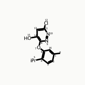 Cc1ccc(C(C)C)c(Oc2nnc(Cl)cc2O)c1